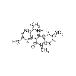 Cc1cnc(C(C)Nc2cc(=O)n(C)c3ccc([N+](=O)[O-])cc23)nc1